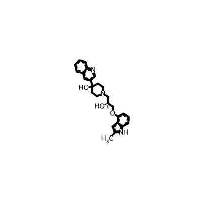 Cc1cc2c(OC[C@@H](O)CN3CCC(O)(c4cnc5ccccc5c4)CC3)cccc2[nH]1